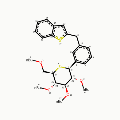 CCCCOC[C@H]1S[C@@H](c2cccc(Cc3cc4ccccc4s3)c2)[C@H](OCCCC)[C@@H](OCCCC)[C@@H]1OCCCC